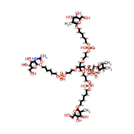 CC(=O)NC1[C@H](OCCCCCCOP(=O)(O)OCCCOCC(COCCCOP(=O)(O)OCCCCCCO[C@@H]2OC(CO)[C@H](O)[C@H](O)C2C)(COCCCOP(=O)(O)OCCCCCCO[C@@H]2OC(CO)[C@H](O)[C@H](O)C2C)COP(=O)(O)OC[C@H]2O[C@@H](C)C(C)(F)[C@@H]2OP(C)(=O)O)OC(CO)[C@H](O)[C@@H]1O